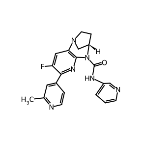 Cc1cc(-c2nc3c(cc2F)N2CC[C@@H](C2)N3C(=O)Nc2cccnc2)ccn1